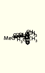 COC(=O)CC(O)CC(O)CCc1c(C)c(N2CCCCC2)c(C)c2c1OC(C)(C)C2